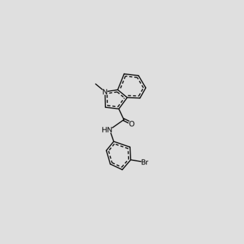 Cn1cc(C(=O)Nc2cccc(Br)c2)c2ccccc21